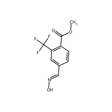 COC(=O)c1ccc(C=NO)cc1C(F)(F)F